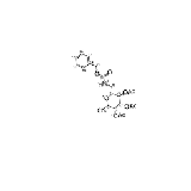 CC(=O)O[C@@H]1[C@@H](OC(C)=O)[C@@H](Cl)O[C@H](CNC(=O)OCc2ccccc2)[C@H]1OC(C)=O